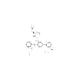 CCCC(C)OC(OO[C@@H](CC(C)C)C(=O)NCC#N)(c1ccccc1)c1ccc(-c2cc(C(=O)O)ccn2)cc1